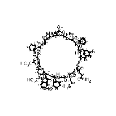 CCCC[C@H]1C(=O)N2C[C@@H](O)C[C@@H]2C(=O)N[C@@H](CC(=O)O)C(=O)N[C@@H](C(C)C)C(=O)N(C)[C@@H](Cc2ccccc2)C(=O)N[C@@H](CCC(=O)O)C(=O)N2CCOC[C@@H]2C(=O)N[C@@H](Cc2cn(CC(=O)O)c3ccccc23)C(=O)N[C@@H](Cc2ccc(O)cc2)C(=O)N[C@@H](CCCN)C(=O)N[C@H](C(=O)CCC(N)=O)CSCC(=O)N[C@@H](Cc2cc(F)c(F)c(F)c2)C(=O)N(C)[C@@H](Cc2ccccc2)C(=O)N1C